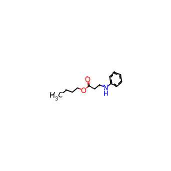 CCCCOC(=O)CCNc1ccccc1